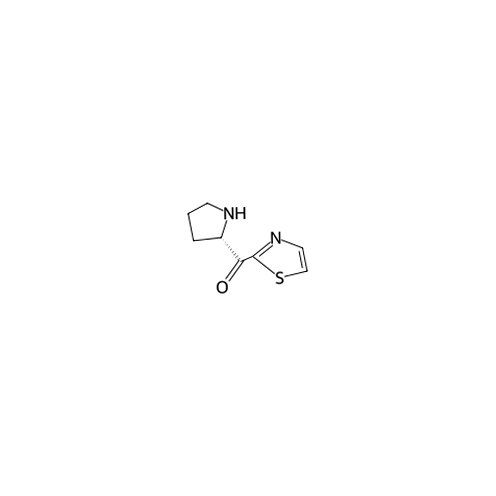 O=C(c1nccs1)[C@@H]1CCCN1